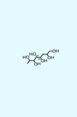 CC(O)C(O)[C@H](O)[C@H](O)CC(O)CO